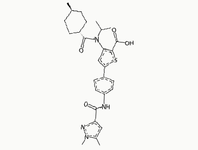 Cc1cc(C(=O)Nc2ccc(-c3cc(N(C(=O)[C@H]4CC[C@H](C)CC4)C(C)C)c(C(=O)O)s3)cc2)nn1C